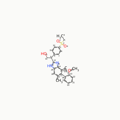 CCS(=O)(=O)c1ccc(C(CO)c2nc3c(C)c(-c4ccccc4OC)c(C)cc3[nH]2)cc1